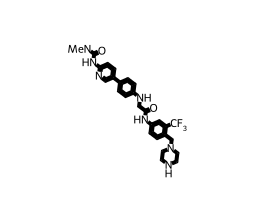 CNC(=O)Nc1ccc(-c2ccc(NCC(=O)Nc3ccc(CN4CCNCC4)c(C(F)(F)F)c3)cc2)cn1